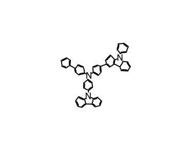 C1=CC2c3cc(-c4ccc(N(c5ccc(-c6ccccc6)cc5)c5ccc(-n6c7ccccc7c7ccccc76)cc5)cc4)ccc3N(c3ccccc3)C2C=C1